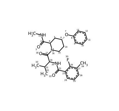 CNC(=O)C1C[C@H](Oc2ccccc2)CCN1C(=O)C(NC(=O)c1cccc(C)c1F)C(C)C